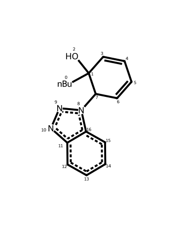 CCCCC1(O)C=CC=CC1n1nnc2ccccc21